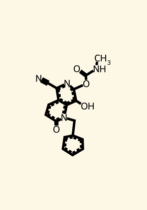 CNC(=O)Oc1nc(C#N)c2ccc(=O)n(Cc3ccccc3)c2c1O